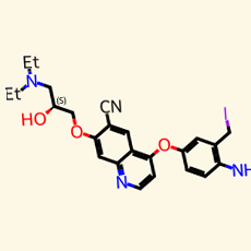 CCN(CC)C[C@H](O)COc1cc2nccc(Oc3ccc(N)c(CI)c3)c2cc1C#N